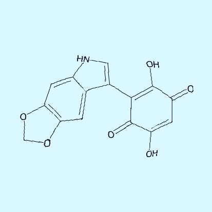 O=C1C=C(O)C(=O)C(c2c[nH]c3cc4c(cc23)OCO4)=C1O